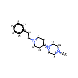 CC(=O)N1CCN(C2CCN(CCc3ccccc3)CC2)CC1